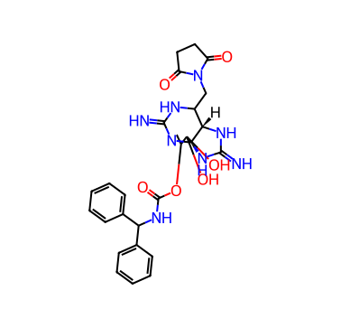 N=C1N[C@H]2C(CN3C(=O)CCC3=O)NC(=N)N3CC(OC(=O)NC(c4ccccc4)c4ccccc4)C(O)(O)[C@]23N1